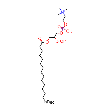 CCCCCCCCCCCCCCCCCCCCCCCC(=O)OCC(COP(=O)(O)OCC[N+](C)(C)C)OO